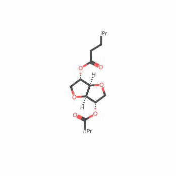 CCCC(=O)O[C@H]1CO[C@H]2[C@@H]1OC[C@@H]2OC(=O)CCC(C)C